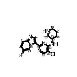 Fc1ccc2ncc(-c3ncc(Cl)c(N[C@@H]4CCCNC4)n3)n2c1